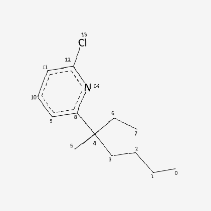 CCCCC(C)(CC)c1cccc(Cl)n1